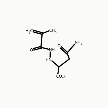 C=C(C)C(=O)NNC(CC(N)=O)C(=O)O